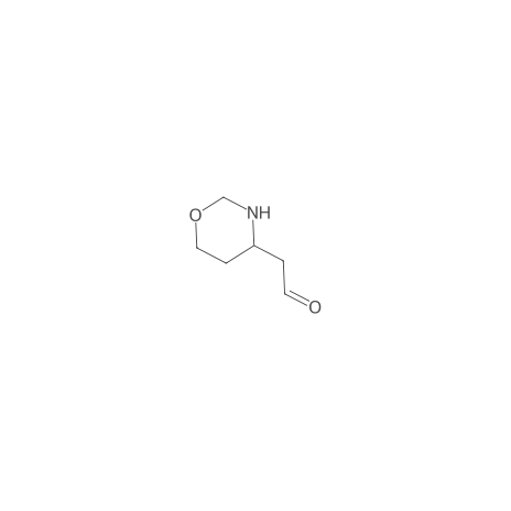 O=CCC1CCOCN1